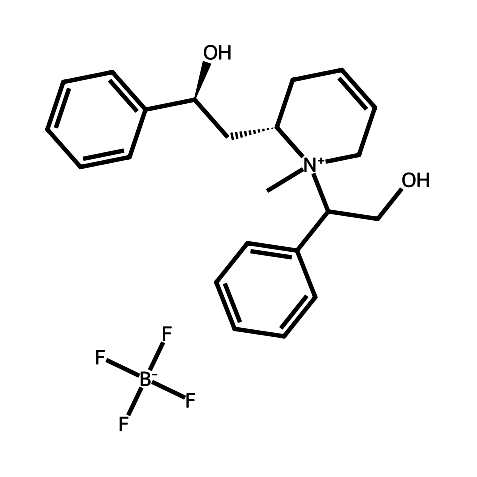 C[N+]1(C(CO)c2ccccc2)CC=CC[C@H]1C[C@H](O)c1ccccc1.F[B-](F)(F)F